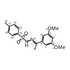 COc1cc(OC)cc(/C(C)=N/NS(=O)(=O)c2ccc(C)cc2)c1